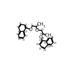 CC(COc1cccc2ccccc12)OCC(C)Oc1cccc2ccccc12